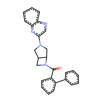 O=C(c1ccccc1-c1ccccc1)N1CC2CN(c3cnc4ccccc4n3)CC21